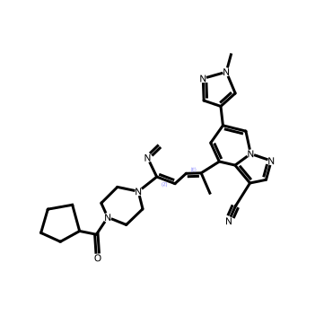 C=N/C(=C\C=C(/C)c1cc(-c2cnn(C)c2)cn2ncc(C#N)c12)N1CCN(C(=O)C2CCCC2)CC1